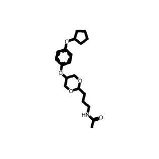 CC(=O)NCCCC1OCC(Oc2ccc(OC3CCCC3)cc2)CO1